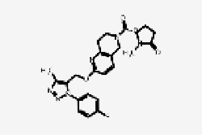 Cc1nnn(-c2ccc(F)cc2)c1COc1ccc2c(n1)CCN(C(=O)[C@@H]1CCC(=O)N1C)C2